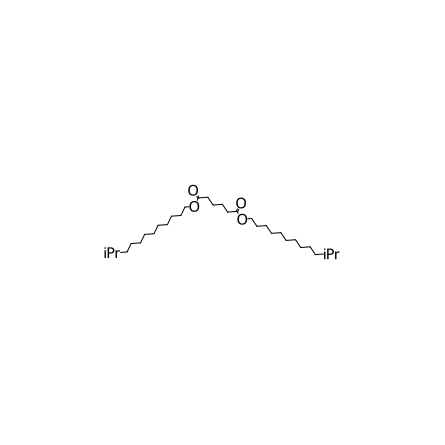 CC(C)CCCCCCCCCCOC(=O)CCCCC(=O)OCCCCCCCCCCC(C)C